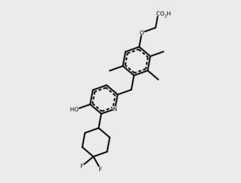 Cc1cc(OCC(=O)O)c(C)c(C)c1Cc1ccc(O)c(C2CCC(F)(F)CC2)n1